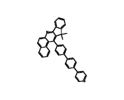 CC1(C)c2ccccc2-c2nc3ccc4ccccc4c3c(-c3ccc(-c4ccc(-c5ccncc5)cc4)cc3)c21